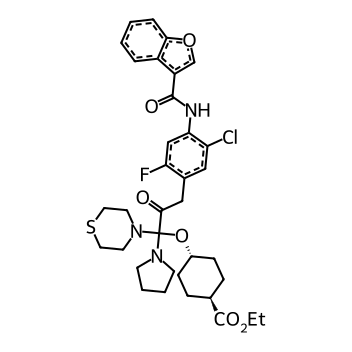 CCOC(=O)[C@H]1CC[C@H](OC(C(=O)Cc2cc(Cl)c(NC(=O)c3coc4ccccc34)cc2F)(N2CCCC2)N2CCSCC2)CC1